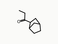 CCC(=O)C1CC2CCC1C2